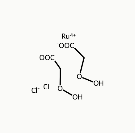 O=C([O-])COO.O=C([O-])COO.[Cl-].[Cl-].[Ru+4]